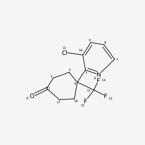 O=C1CCC(c2ncccc2Cl)(C(F)(F)F)CC1